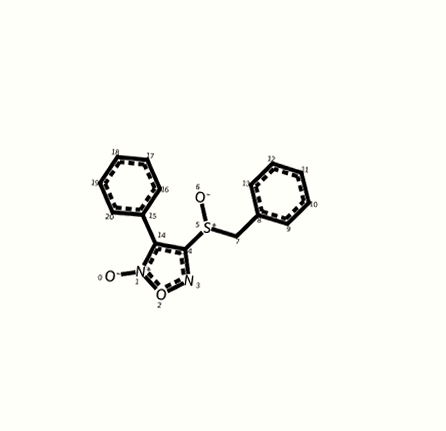 [O-][n+]1onc([S+]([O-])Cc2ccccc2)c1-c1ccccc1